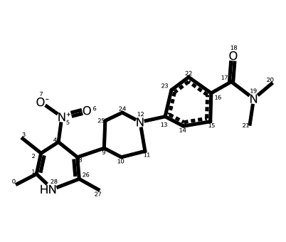 CC1=C(C)C([N+](=O)[O-])C(C2CCN(c3ccc(C(=O)N(C)C)cc3)CC2)=C(C)N1